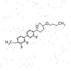 CCCCOC1CCC(c2ccc(-c3ccc(CC)c(F)c3F)cc2F)OC1